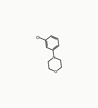 Clc1[c]ccc(N2CCOCC2)c1